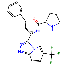 O=C(N[C@H](CCc1ccccc1)c1nnc2ccc(C(F)(F)F)cn12)C1CCCN1